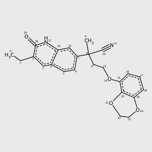 CCc1cc2ccc(C(C)(C#N)CCOc3cccc4c3OCCO4)cc2[nH]c1=O